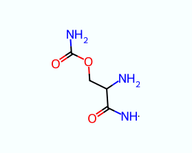 [NH]C(=O)C(N)COC(N)=O